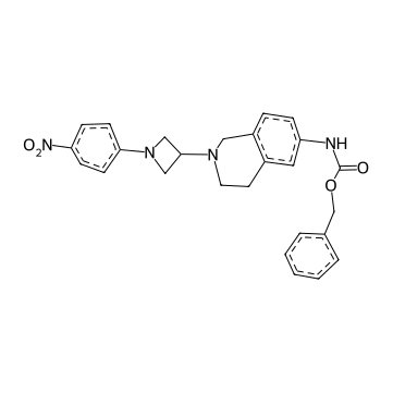 O=C(Nc1ccc2c(c1)CCN(C1CN(c3ccc([N+](=O)[O-])cc3)C1)C2)OCc1ccccc1